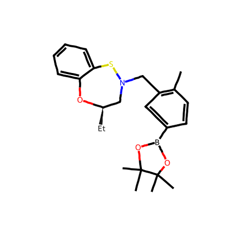 CC[C@@H]1CN(Cc2cc(B3OC(C)(C)C(C)(C)O3)ccc2C)Sc2ccccc2O1